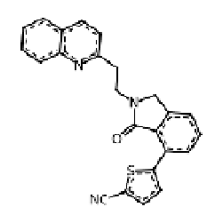 N#Cc1ccc(-c2cccc3c2C(=O)N(CCc2ccc4ccccc4n2)C3)s1